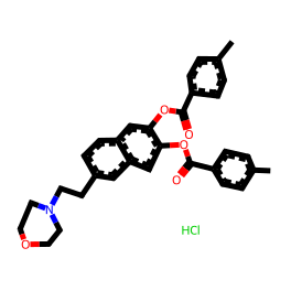 Cc1ccc(C(=O)Oc2cc3ccc(CCN4CCOCC4)cc3cc2OC(=O)c2ccc(C)cc2)cc1.Cl